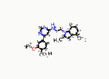 CCCOc1cc(-c2cc(NCCn3c(C)cc4c(C)ccc(F)c43)ncn2)ccc1C(=O)O